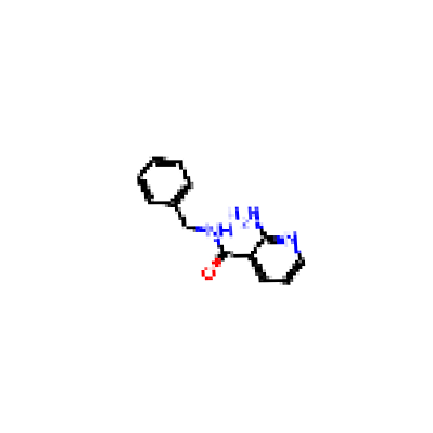 Nc1ncccc1C(=O)NCc1ccccc1